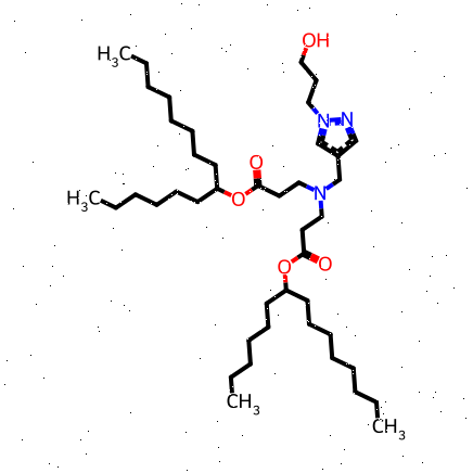 CCCCCCCCC(CCCCCC)OC(=O)CCN(CCC(=O)OC(CCCCCC)CCCCCCCC)Cc1cnn(CCCO)c1